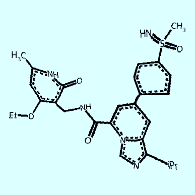 CCOc1cc(C)[nH]c(=O)c1CNC(=O)c1cc(-c2ccc(S(C)(=N)=O)cc2)cc2c(C(C)C)ncn12